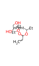 C=CC(=O)OC(CC)CCCCC.CCOCC.OCCO